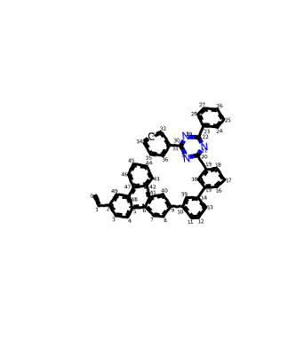 C=Cc1ccc2c3ccc(-c4cccc(-c5cccc(-c6nc(-c7ccccc7)nc(-c7ccccc7)n6)c5)c4)cc3c3ccccc3c2c1